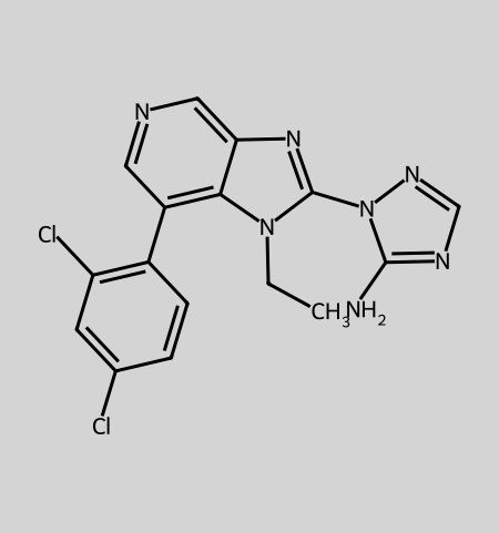 CCn1c(-n2ncnc2N)nc2cncc(-c3ccc(Cl)cc3Cl)c21